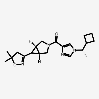 C[C@@H](C1CCC1)n1cnc(C(=O)N2C[C@@H]3C(C4=NOC(C)(C)C4)[C@@H]3C2)c1